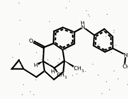 CNc1ccc(Nc2ccc3c(c2)[C@]2(C)CCC(CC4CC4)[C@H](C3=O)[C@@H]2C)cc1